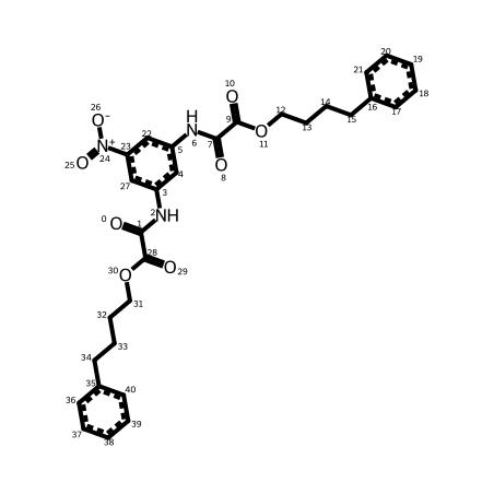 O=C(Nc1cc(NC(=O)C(=O)OCCCCc2ccccc2)cc([N+](=O)[O-])c1)C(=O)OCCCCc1ccccc1